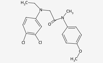 CCN(CC(=O)N(C)c1ccc(OC)cc1)c1ccc(Cl)c(Cl)c1